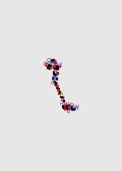 COc1cc(N2CCC(N3CCN(C(=O)CCOCCOCCOCCOCCNc4cccc5c4C(=O)N(C4CCC(=O)NC4=O)C5=O)CC3)CC2)ccc1Nc1ncc(Cl)c(Nc2ccccc2P(C)(C)=O)n1